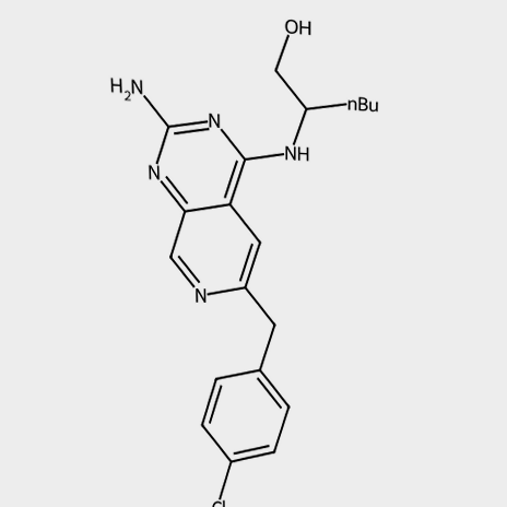 CCCCC(CO)Nc1nc(N)nc2cnc(Cc3ccc(Cl)cc3)cc12